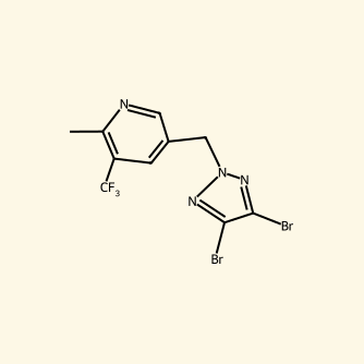 Cc1ncc(Cn2nc(Br)c(Br)n2)cc1C(F)(F)F